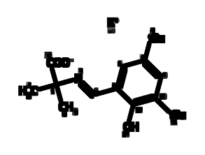 CC(C)(/N=C/c1cc(C(C)(C)C)cc(C(C)(C)C)c1O)C(=O)[O-].[K+]